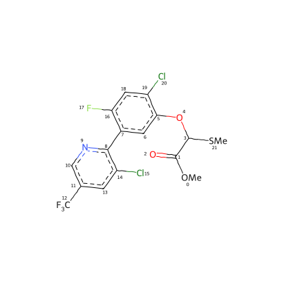 COC(=O)C(Oc1cc(-c2ncc(C(F)(F)F)cc2Cl)c(F)cc1Cl)SC